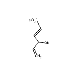 C=CC(O)C=CC(=O)O